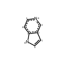 C1=Cc2cnccc2[N]1